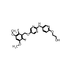 COc1cc(OC)c(F)c(COc2cnc(Nc3ccc(OCCO)nc3)nc2)c1F